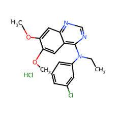 CCN(c1cccc(Cl)c1)c1ncnc2cc(OC)c(OC)cc12.Cl